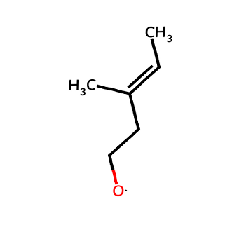 C/C=C(\C)CC[O]